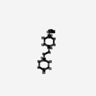 CC(C)(C)N1CCN(CCN2CCSCC2)CC1